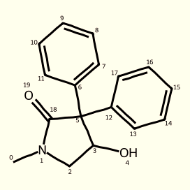 CN1CC(O)C(c2ccccc2)(c2ccccc2)C1=O